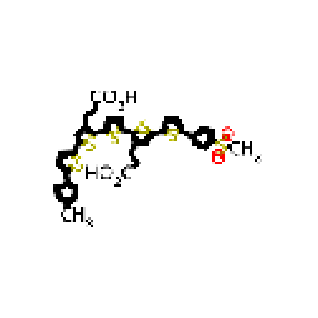 Cc1ccc(-c2ccc(-c3cc(CCC(=O)O)c(-c4ccc(-c5sc(-c6ccc(-c7ccc(S(C)(=O)=O)cc7)s6)cc5CCC(=O)O)s4)s3)s2)cc1